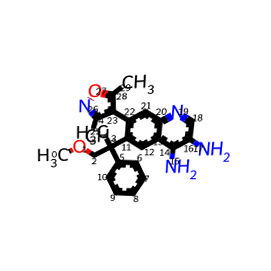 COCC(C)(c1ccccc1)c1cc2c(N)c(N)cnc2cc1-c1c(C)noc1C